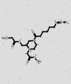 COCC(=O)OCC1CN(C(=O)CCCCCN=[N+]=[N-])CCN1CC(=O)OC(C)(C)C